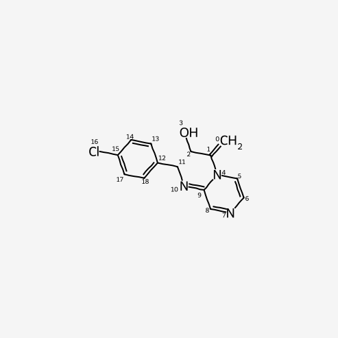 C=C(CO)n1ccnc/c1=N/Cc1ccc(Cl)cc1